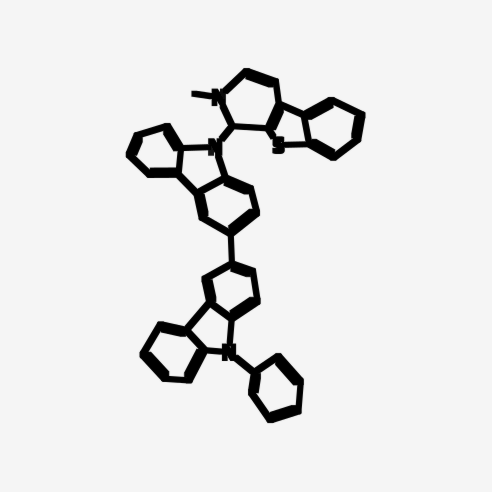 CN1C=Cc2c(sc3ccccc23)C1n1c2ccccc2c2cc(-c3ccc4c(c3)c3ccccc3n4-c3ccccc3)ccc21